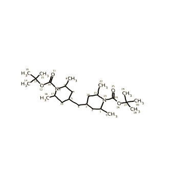 CC1CC(CC2CC(C)N(C(=O)OC(C)(C)C)C(C)C2)CC(C)N1C(=O)OC(C)(C)C